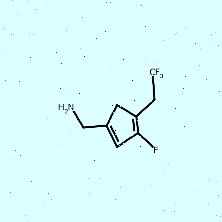 NCC1=CC(F)=C(CC(F)(F)F)C1